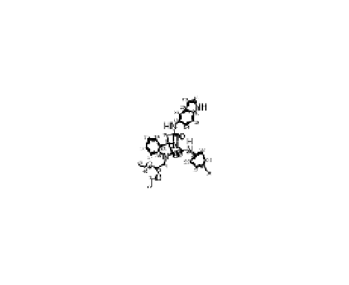 CCOC(CN1C(=O)C(CC(=O)Nc2ccc3[nH]ccc3c2)(NC(=O)Nc2ccc(C)cc2)c2ccccc21)OCC